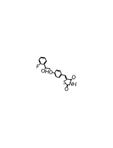 O=C1NC(=O)C(=Cc2ccc(OCC(O)c3ccccc3F)cc2)S1